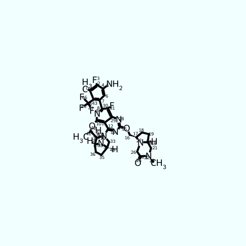 Cc1c(F)c(N)cc(-c2nc3c4c(nc(OC[C@H]5CC[C@@H]6CN(C)C(=O)CN56)nc4c2F)N2C[C@H]4CC[C@H](N4)[C@H]2[C@H](C)O3)c1C(F)(F)F